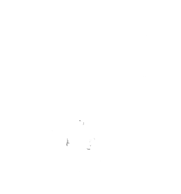 CC1(c2ccccc2)c2ccccc2-c2cccc(N(c3cccc(-c4ccc5c(c4)c(-c4ccccc4)c(-c4ccccc4)c4ccccc45)c3)c3cc4ccccc4c4ccccc34)c21